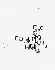 CC(OC(=O)OCC(Cl)(Cl)Cl)[C@H]1C(=O)N[C@@H]1CC(=O)O